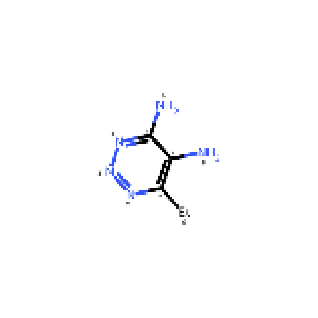 CCc1nnnc(N)c1N